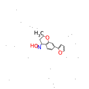 CC1C/C(=N\O)c2ccc(-c3ccco3)cc2O1